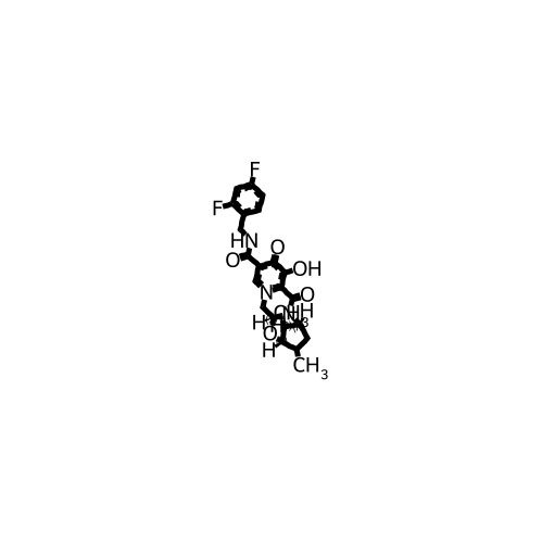 CC1C[C@@H]2[C@@H](C)[C@H]1O[C@H]1Cn3cc(C(=O)NCc4ccc(F)cc4F)c(=O)c(O)c3C(=O)N12